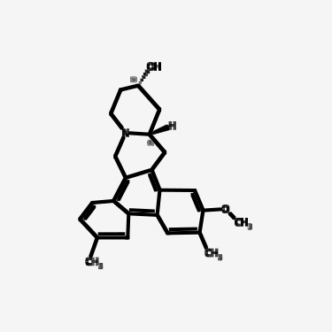 COc1cc2c3c(c4ccc(C)cc4c2cc1C)CN1CC[C@H](O)C[C@@H]1C3